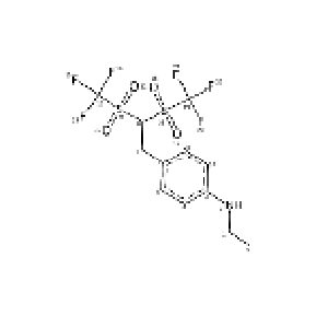 CCNc1ccc(CC(S(=O)(=O)C(F)(F)F)S(=O)(=O)C(F)(F)F)cc1